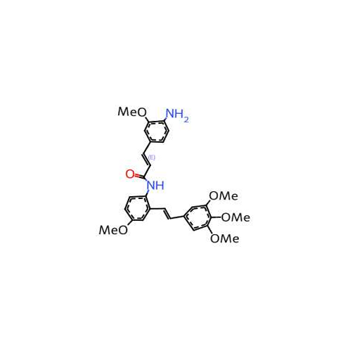 COc1ccc(NC(=O)/C=C/c2ccc(N)c(OC)c2)c(C=Cc2cc(OC)c(OC)c(OC)c2)c1